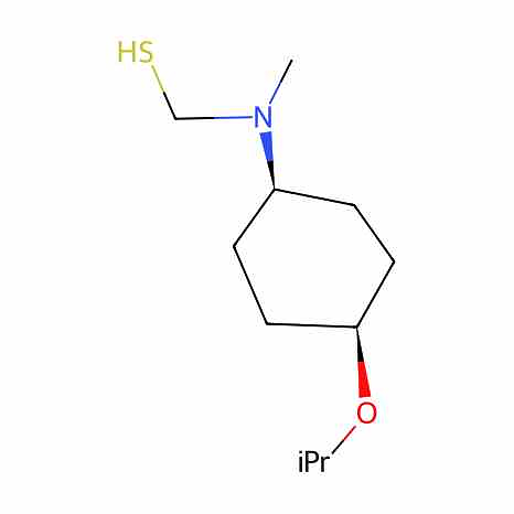 CC(C)O[C@H]1CC[C@@H](N(C)CS)CC1